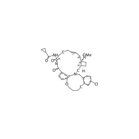 CO[C@H]1/C=C/CCC[S@@](=O)(NC(=O)C2CC2)=NC(=O)c2ccc3c(c2)N(Cc2ccc(Cl)cc2CCCCO3)C[C@@H]2CC[C@H]21